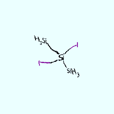 [SiH3][Si]([SiH3])(I)I